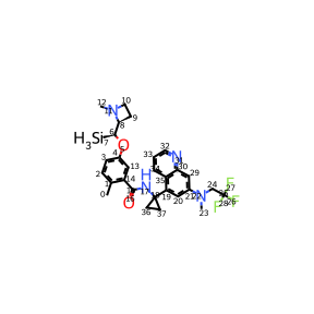 Cc1ccc(O[C@@H]([SiH3])[C@@H]2CCN2C)cc1C(=O)NC1(c2cc(N(C)CC(F)(F)F)cc3ncccc23)CC1